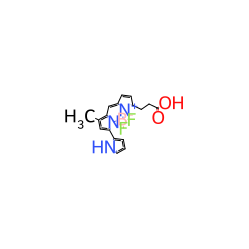 Cc1cc(-c2ccc[nH]2)n2c1C=C1C=CC(CCC(=O)O)=[N+]1[B-]2(F)F